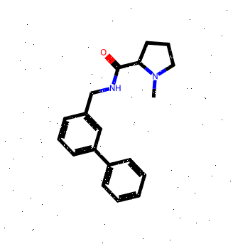 CN1CCCC1C(=O)NCc1cccc(-c2ccccc2)c1